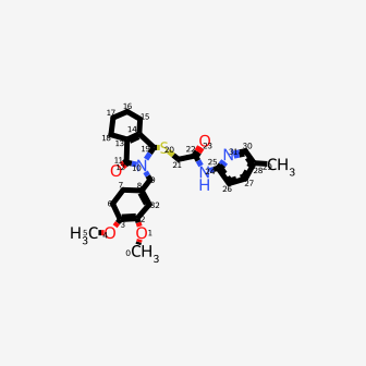 COC1=C(OC)CCC(CN2C(=O)C3=C(CCCC3)C2SCC(=O)Nc2ccc(C)cn2)=C1